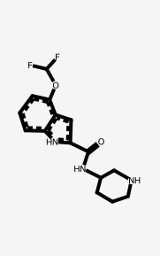 O=C(NC1CCCNC1)c1cc2c(OC(F)F)cccc2[nH]1